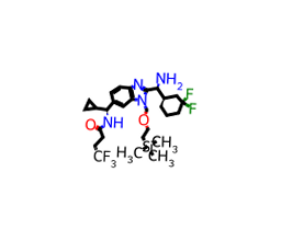 C[Si](C)(C)CCOCn1c([C@@H](N)[C@@H]2CCCC(F)(F)C2)nc2ccc([C@H](NC(=O)CCC(F)(F)F)C3CC3)cc21